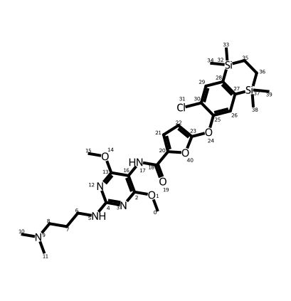 COc1nc(NCCCN(C)C)nc(OC)c1NC(=O)c1ccc(Oc2cc3c(cc2Cl)[Si](C)(C)CC[Si]3(C)C)o1